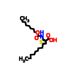 CCCCCCCCOC(=O)Nc1sc(CCCCCCCC)cc1C(=O)O